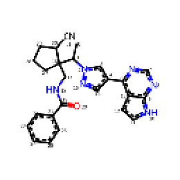 CC(n1cc(-c2ncnc3[nH]ccc23)cn1)C1(CNC(=O)c2ccccc2)CCCC1C#N